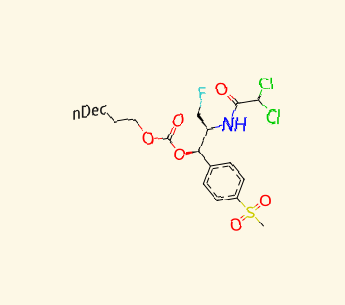 CCCCCCCCCCCCOC(=O)O[C@H](c1ccc(S(C)(=O)=O)cc1)[C@@H](CF)NC(=O)C(Cl)Cl